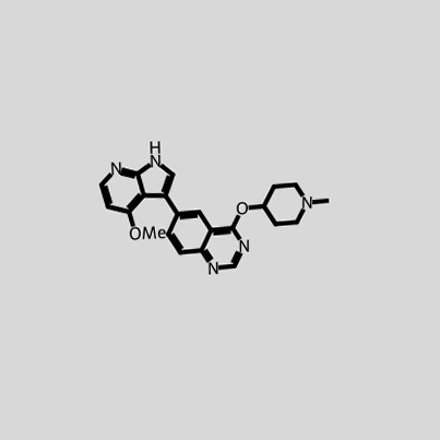 COc1ccnc2[nH]cc(-c3ccc4ncnc(OC5CCN(C)CC5)c4c3)c12